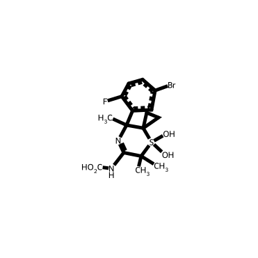 CC1(c2cc(Br)ccc2F)N=C(NC(=O)O)C(C)(C)S(O)(O)C12CC2